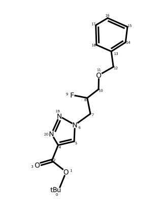 CC(C)(C)OC(=O)c1cn(CC(F)COCc2ccccc2)nn1